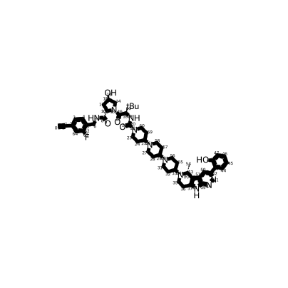 C#Cc1ccc(CNC(=O)[C@@H]2C[C@@H](O)CN2C(=O)[C@@H](NC(=O)N2CCC(N3CCC(N4CCC(N5CCc6[nH]c7nnc(-c8ccccc8O)cc7c6[C@H]5C)CC4)CC3)CC2)C(C)(C)C)c(F)c1